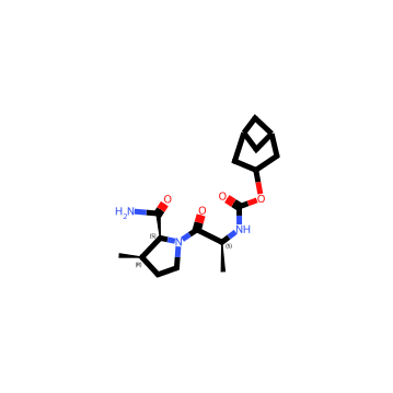 C[C@H](NC(=O)OC1CC2CC(C2)C1)C(=O)N1CC[C@@H](C)[C@H]1C(N)=O